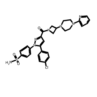 NS(=O)(=O)c1ccc(-n2nc(C(=O)N3CC(N4CCN(c5ccccn5)CC4)C3)cc2-c2ccc(Cl)cc2)cc1